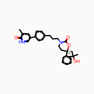 Cc1cc(-c2ccc(CCCN3CC[C@](CC(C)(C)O)(c4ccccc4)OC3=O)cc2)c[nH]c1=O